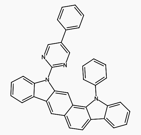 c1ccc(-c2cnc(-n3c4ccccc4c4cc5ccc6c7ccccc7n(-c7ccccc7)c6c5cc43)nc2)cc1